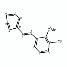 COc1c(Cl)cccc1N=Nc1ccccc1